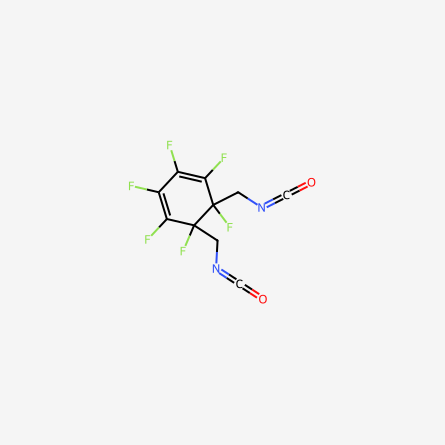 O=C=NCC1(F)C(F)=C(F)C(F)=C(F)C1(F)CN=C=O